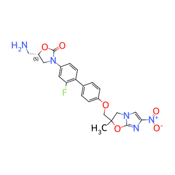 CC1(COc2ccc(-c3ccc(N4C[C@H](CN)OC4=O)cc3F)cc2)Cn2cc([N+](=O)[O-])nc2O1